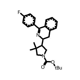 CC(C)(C)OC(=O)N1CC(C2Cc3ccccc3C(c3ccc(F)cc3)=N2)C(C)(C)C1